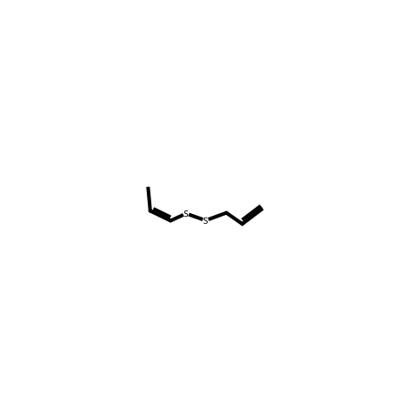 C=CCSS/C=C\C